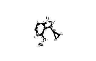 CC[C@H](C)Oc1nccc2[nH]nc(C3CC3)c12